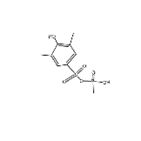 Cc1cc(S(=O)(=O)OP(C)(=O)O)cc(C)c1O